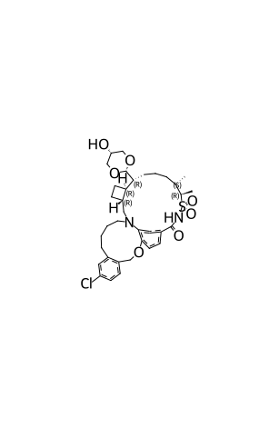 C[C@@H]1[C@@H](C)CCC[C@@H]([C@H]2OC[C@@H](O)CO2)[C@@H]2CC[C@H]2CN2CCCCc3cc(Cl)ccc3COc3ccc(cc32)C(=O)NS1(=O)=O